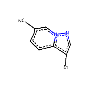 CCc1cnn2cc(C#N)ccc12